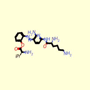 CC(C)[C@H](N)C(=O)Oc1ccccc1/N=N/c1ccc(NC(=O)[C@@H](N)CCCCN)nc1N